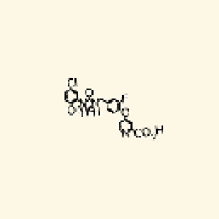 COc1ccc(Cl)cc1NC(=O)NCc1ccc(Oc2ccnc(C(=O)O)c2)c(F)c1